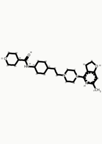 Cc1cc2c(c(N3CCN(CCC4CCC(NC(=O)C5CCOCC5)CC4)CC3)n1)CCO2